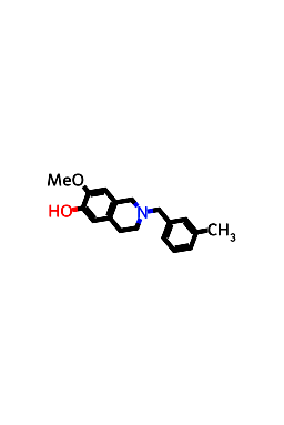 COc1cc2c(cc1O)CCN(Cc1cccc(C)c1)C2